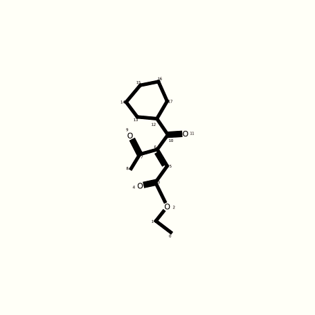 CCOC(=O)C=C(C(C)=O)C(=O)C1CCCCC1